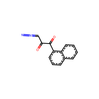 [N-]=[N+]=CC(=O)C(=O)c1cccc2ccccc12